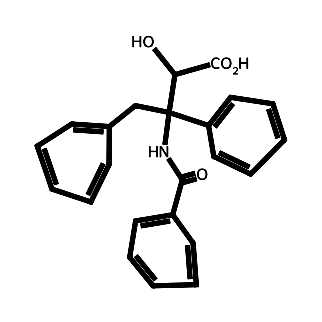 O=C(NC(Cc1ccccc1)(c1ccccc1)C(O)C(=O)O)c1ccccc1